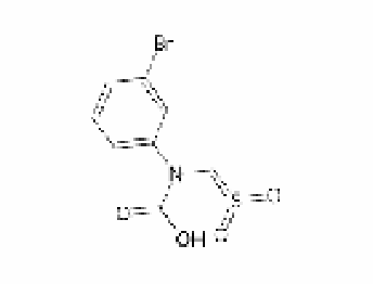 O=C(O)N(C=S(=O)=O)c1cccc(Br)c1